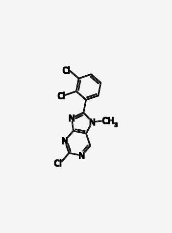 Cn1c(-c2cccc(Cl)c2Cl)nc2nc(Cl)ncc21